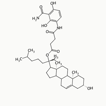 CC(C)CCC[C@](C)(OC(=O)CCC(=O)Nc1ccc(O)c(C(N)=O)c1O)C1CCC2C3CC=C4C[C@@H](O)CC[C@]4(C)C3CC[C@@]21C